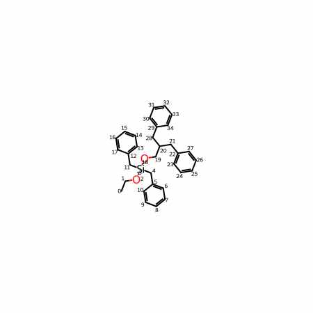 CCO[Si](Cc1ccccc1)(Cc1ccccc1)OCC(Cc1ccccc1)Cc1ccccc1